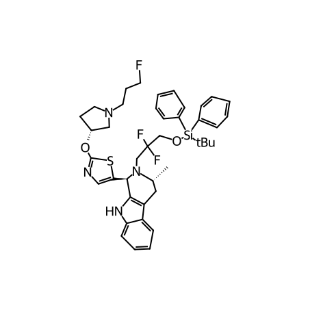 C[C@@H]1Cc2c([nH]c3ccccc23)[C@@H](c2cnc(O[C@@H]3CCN(CCCF)C3)s2)N1CC(F)(F)CO[Si](c1ccccc1)(c1ccccc1)C(C)(C)C